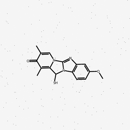 COc1ccc2c(c1)nc1n2C(S)c2c(C)c(=O)c(C)cn2-1